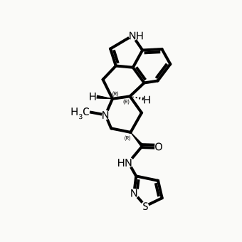 CN1C[C@H](C(=O)Nc2ccsn2)C[C@@H]2c3cccc4[nH]cc(c34)C[C@H]21